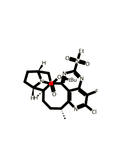 CCS(=O)(=O)c1nc2c3c(nc(Cl)c(F)c3n1)[C@H](C)CC[C@H]1[C@@H]3CC[C@H](CN21)N3C(=O)OC(C)(C)C